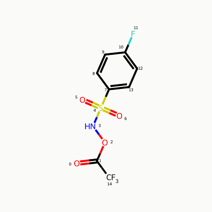 O=C(ONS(=O)(=O)c1ccc(F)cc1)C(F)(F)F